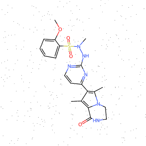 COc1ccccc1S(=O)(=O)N(C)Nc1nccc(-c2c(C)c3n(c2C)CCNC3=O)n1